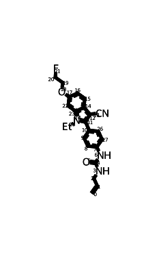 C=CCNC(=O)Nc1ccc(-c2c(C#N)c3ccc(OCCF)cc3n2CC)cc1